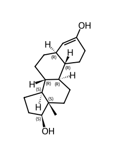 C[C@]12CC[C@@H]3[C@H]4CCC(O)=C[C@@H]4CC[C@H]3[C@@H]1CC[C@@H]2O